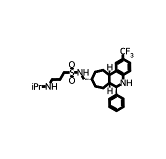 CC(C)NCCCS(=O)(=O)NC[C@H]1CC[C@@H]2[C@H](CC1)c1cc(C(F)(F)F)ccc1N[C@H]2c1ccccc1